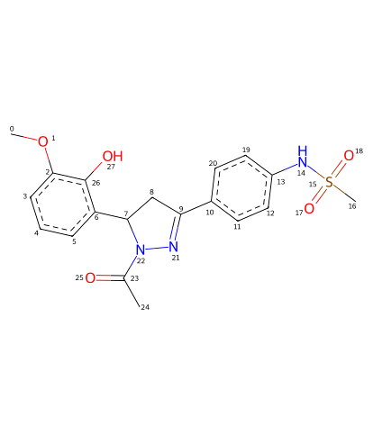 COc1cccc(C2CC(c3ccc(NS(C)(=O)=O)cc3)=NN2C(C)=O)c1O